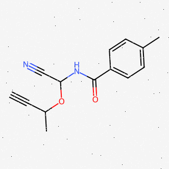 C#CC(C)OC(C#N)NC(=O)c1ccc(C)cc1